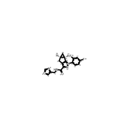 O=C(NCc1cocn1)c1nn(-c2ccc(F)cc2F)c2c1C[C@H]1C[C@@H]21